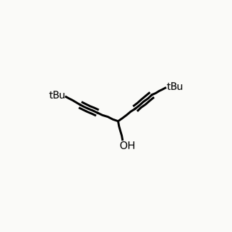 CC(C)(C)C#CC(O)C#CC(C)(C)C